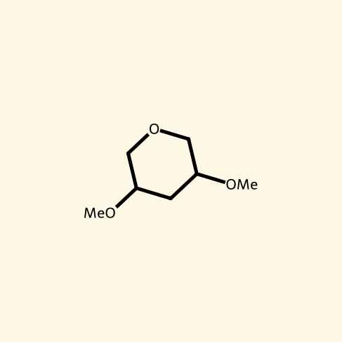 COC1COCC(OC)C1